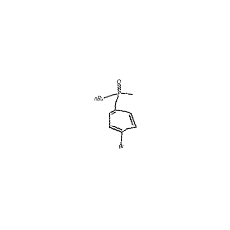 CCCCP(C)(=O)c1ccc(Br)cc1